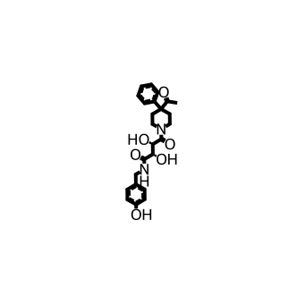 CC(=O)C1(c2ccccc2)CCN(C(=O)[C@H](O)[C@@H](O)C(=O)NCc2ccc(O)cc2)CC1